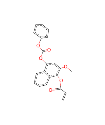 C=CC(=O)Oc1c(OC)cc(OC(=O)Oc2ccccc2)c2ccccc12